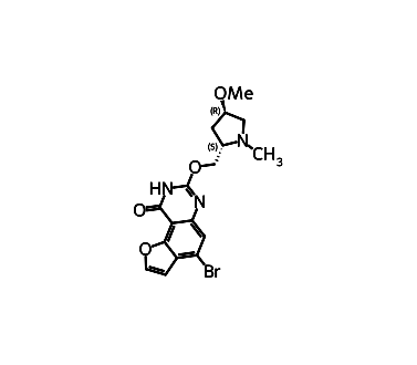 CO[C@@H]1C[C@@H](COc2nc3cc(Br)c4ccoc4c3c(=O)[nH]2)N(C)C1